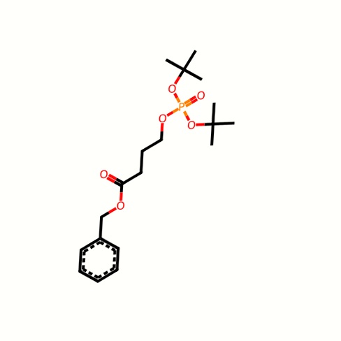 CC(C)(C)OP(=O)(OCCCC(=O)OCc1ccccc1)OC(C)(C)C